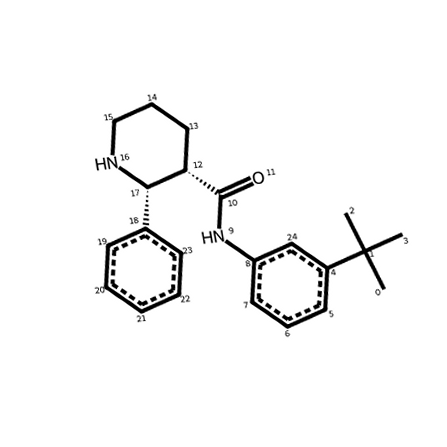 CC(C)(C)c1cccc(NC(=O)[C@H]2CCCN[C@H]2c2ccccc2)c1